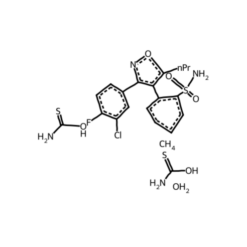 C.CCCc1onc(-c2ccc(F)c(Cl)c2)c1-c1ccccc1S(N)(=O)=O.NC(O)=S.NC(O)=S.O